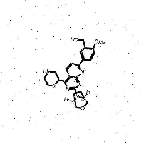 COc1ccc(-c2ccc3c(C4CNCCO4)nc(N4[C@@H]5CC[C@H]4COC5)nc3n2)cc1CO